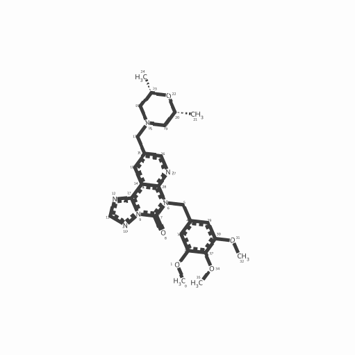 COc1cc(Cn2c(=O)n3ncnc3c3cc(CN4C[C@@H](C)O[C@@H](C)C4)cnc32)cc(OC)c1OC